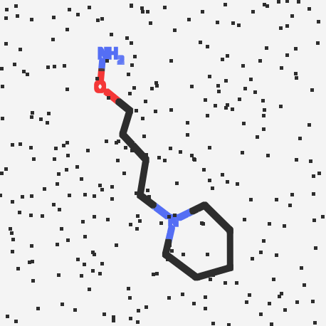 NOCCCCN1CCCCC1